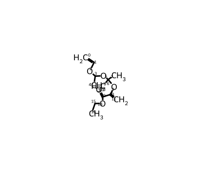 C=COC(C)OC(C)(C)OC(=C)C(=O)OCC